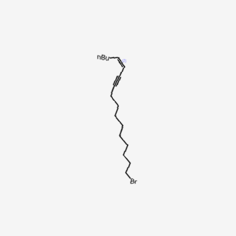 CCCC/C=C\C#CCCCCCCCCCBr